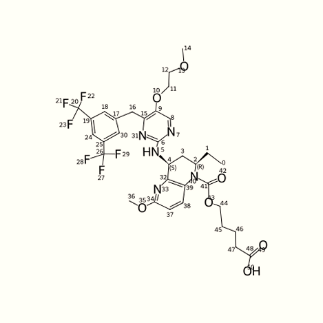 CC[C@@H]1C[C@H](Nc2ncc(OCCOC)c(Cc3cc(C(F)(F)F)cc(C(F)(F)F)c3)n2)c2nc(OC)ccc2N1C(=O)OCCCCC(=O)O